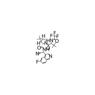 CC(C)(C)[C@H](NC(=O)C(F)(F)F)C(=O)N1C[C@H]2[C@H]([C@H]1C(=O)NC(C#N)c1cncc3ccc(F)cc13)C2(C)C